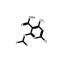 COC(=O)c1c(C)cc(Cl)nc1OC(F)F